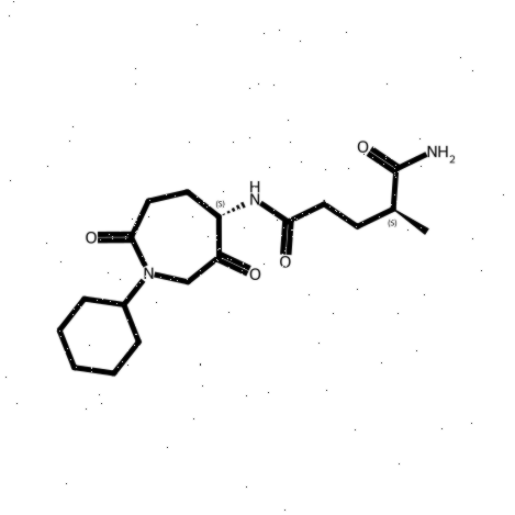 C[C@@H](C[CH]C(=O)N[C@H]1CCC(=O)N(C2CCCCC2)CC1=O)C(N)=O